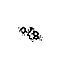 CC[C@@](O)(CC(=O)N(C)CCCNC1CCC(=O)NC1=O)c1ccc(F)c(OCC2CC2)c1